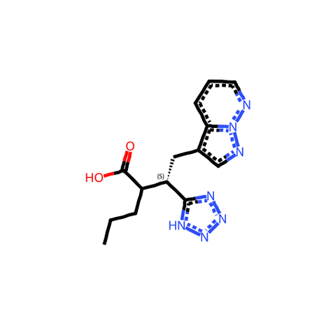 CCCC(C(=O)O)[C@H](Cc1cnn2ncccc12)c1nnn[nH]1